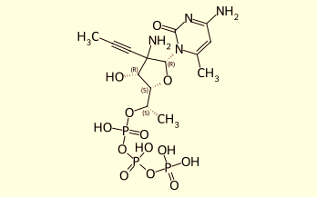 CC#CC1(N)[C@@H](O)[C@@H]([C@H](C)OP(=O)(O)OP(=O)(O)OP(=O)(O)O)O[C@H]1n1c(C)cc(N)nc1=O